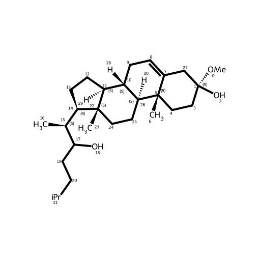 CO[C@]1(O)CC[C@@]2(C)C(=CC[C@H]3[C@@H]4CC[C@H]([C@H](C)C(O)CCC(C)C)[C@@]4(C)CC[C@@H]32)C1